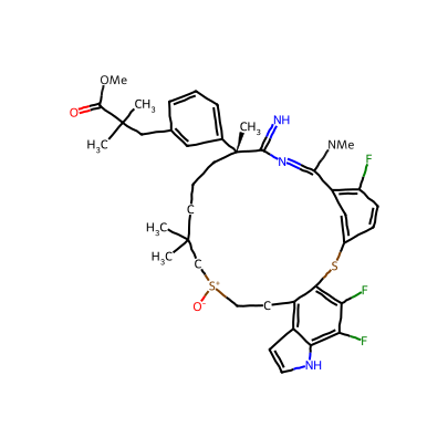 CN/C1=N\C(=N)[C@@](C)(c2cccc(CC(C)(C)C(=O)OC)c2)CCCC(C)(C)C[S+]([O-])CCc2c(c(F)c(F)c3[nH]ccc23)Sc2ccc(F)c1c2